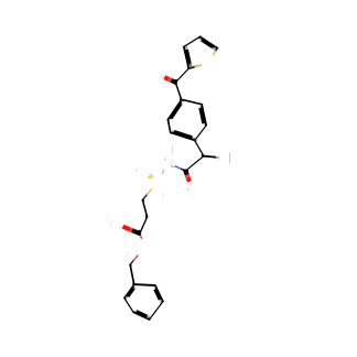 CC(C(=O)NS(=O)(=O)CCC(=O)OCc1ccccc1)c1ccc(C(=O)c2cccs2)cc1